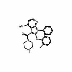 CCCc1ccnc2c1c(C(=O)N1CCNCC1)c(Oc1c(C)cccc1C)n2-c1ccccc1